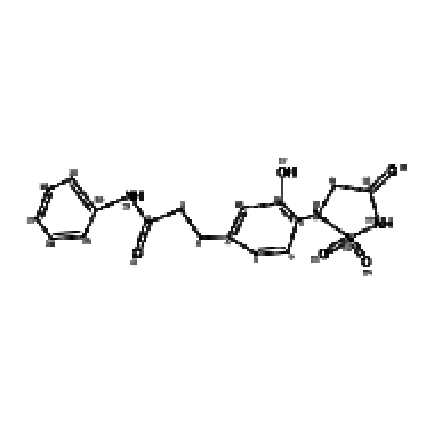 O=C(CCc1ccc(N2CC(=O)NS2(=O)=O)c(O)c1)Nc1ccccc1